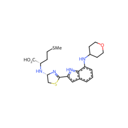 CSCC[C@H](N[C@H]1CSC(c2cc3cccc(NC4CCOCC4)c3[nH]2)=N1)C(=O)O